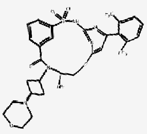 CCC[C@@H]1COc2cc(-c3c(C)cccc3C)nc(n2)NS(=O)(=O)c2cccc(c2)C(=O)N1C1CC(N2CCOCC2)C1